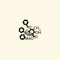 COC(=O)C1O[C@@H](O[Si](c2ccccc2)(c2ccccc2)C(C)(C)C)C(OCc2ccccc2)[C@@H](C)[C@@H]1O